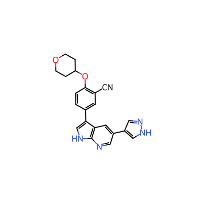 N#Cc1cc(-c2c[nH]c3ncc(-c4cn[nH]c4)cc23)ccc1OC1CCOCC1